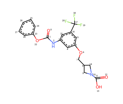 O=C(Nc1cc(OCC2CN(C(=O)O)C2)cc(C(F)(F)F)c1)Oc1ccccc1